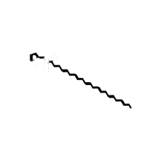 CCC=CCC=CCC=CCC=CCC=CCC=CCCC(=O)NCc1cccs1